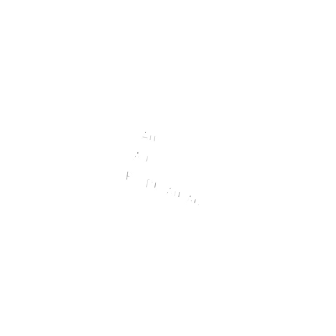 [Au].[Au].[Au].[Au].[Pt].[Pt]